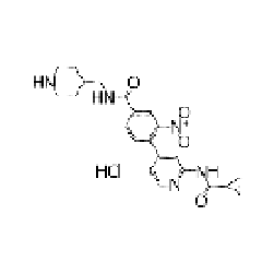 Cl.O=C(NCC1CCNCC1)c1ccc(-c2ccnc(NC(=O)C3CC3)c2)c([N+](=O)[O-])c1